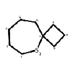 C1CCSC2(CC1)CCC2